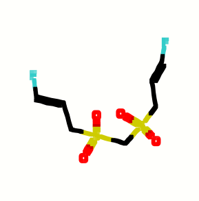 O=S(=O)(CC=CF)CS(=O)(=O)CC=CF